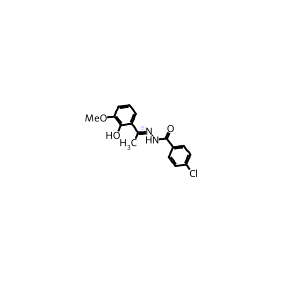 COc1cccc(/C(C)=N/NC(=O)c2ccc(Cl)cc2)c1O